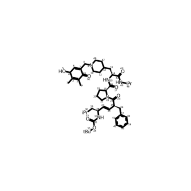 CC1=C(C)C(O)C=C(CN2CCC(C[C@H](NC(=O)[C@@H]3CCCN3C(=O)[C@H](/C=C/[C@H](CC(C)C)NC(=O)OC(C)(C)C)Cc3ccccc3)C(=O)NC(C)C)CC2)C1=O